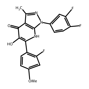 COc1ccc(-c2[nH]c3c(c(C)nn3-c3ccc(F)c(F)c3)c(=O)c2O)c(F)c1